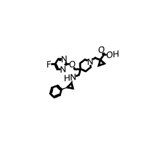 O=C(O)C1(CN2CCC(CN[C@@H]3C[C@H]3c3ccccc3)(COc3ncc(F)cn3)CC2)CC1